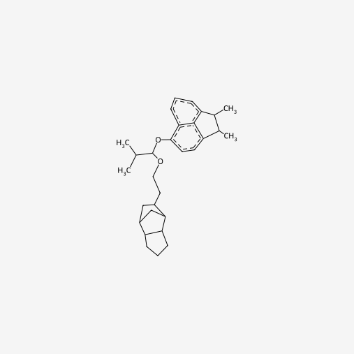 CC(C)C(OCCC1CC2CC1C1CCCC21)Oc1ccc2c3c(cccc13)C(C)C2C